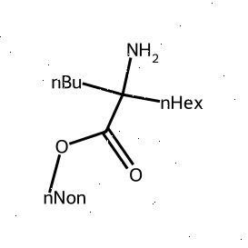 CCCCCCCCCOC(=O)C(N)(CCCC)CCCCCC